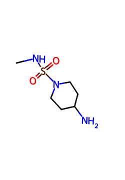 CNS(=O)(=O)N1CCC(N)CC1